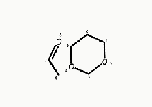 C1COCOC1.CC=O